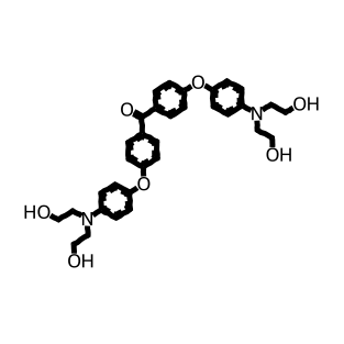 O=C(c1ccc(Oc2ccc(N(CCO)CCO)cc2)cc1)c1ccc(Oc2ccc(N(CCO)CCO)cc2)cc1